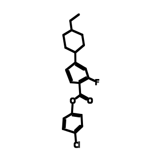 CCC1CCC(c2ccc(C(=O)Oc3ccc(Cl)cc3)c(F)c2)CC1